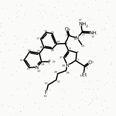 CCC(=O)C1CC(C(C(=O)N(C)C(=N)N)c2cccc(-c3cccnc3F)c2)=CN1CCCCF